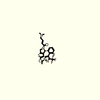 CCn1cc(-c2c(F)cccc2[C@H]2c3cc(Cl)sc3CN2C(=O)/C=C/CN(C)C)c(C(F)(F)F)n1